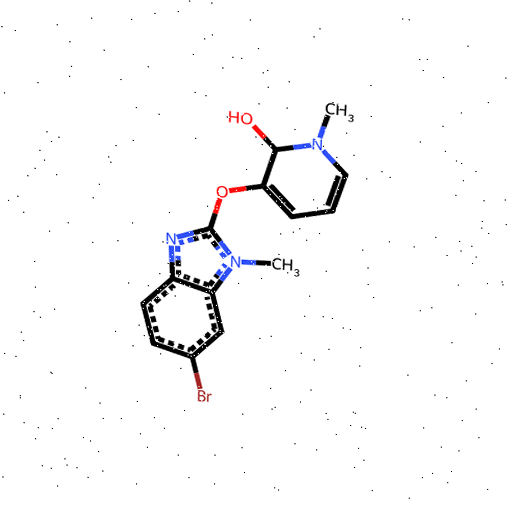 CN1C=CC=C(Oc2nc3ccc(Br)cc3n2C)C1O